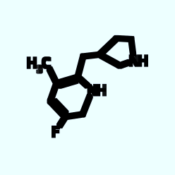 CC1=C(CC2CCNC2)NCC(F)=C1